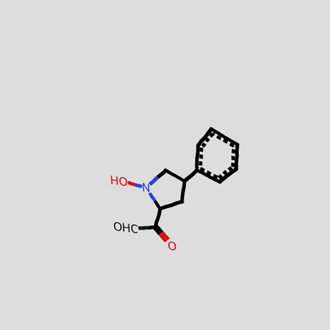 O=CC(=O)C1CC(c2ccccc2)CN1O